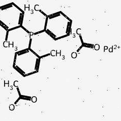 CC(=O)[O-].CC(=O)[O-].Cc1ccccc1P(c1ccccc1C)c1ccccc1C.[Pd+2]